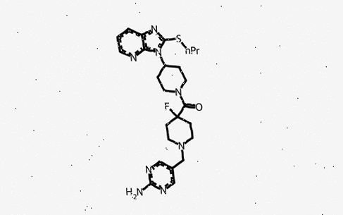 CCCSc1nc2cccnc2n1C1CCN(C(=O)C2(F)CCN(Cc3cnc(N)nc3)CC2)CC1